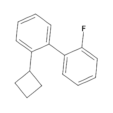 Fc1ccccc1-c1ccccc1C1CCC1